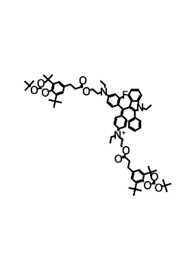 CCN(CCOC(=O)CCc1cc(C(C)(C)C)c(OC(=O)OC(C)(C)C)c(C(C)(C)C)c1)c1ccc(C(=C2C=CC(=[N+](CC)CCOC(=O)CCc3cc(C(C)(C)C)c(OC(=O)OC(C)(C)C)c(C(C)(C)C)c3)C=C2)c2c(-c3ccccc3)n(CC)c3ccccc23)c(F)c1